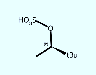 C[C@@H](OS(=O)(=O)O)C(C)(C)C